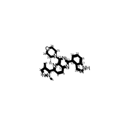 Cc1cnn(C)c1-c1ccc2nc(-c3cccc4[nH]ncc34)nc(N3CCOC[C@H]3C)c2n1